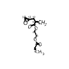 C=CC(=O)OCCOC(=O)C(=C)CC1CO1